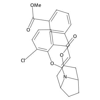 COC(=O)c1cccc(COC2CC3CCC(C2)N3c2cc(=O)c3cccc(Cl)c3o2)c1